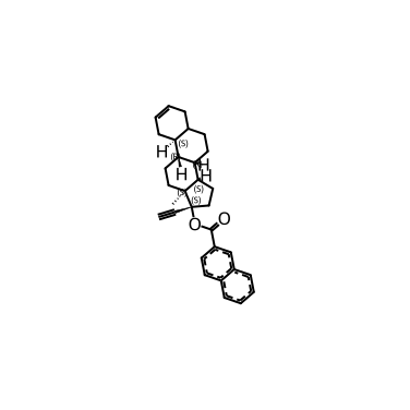 C#C[C@]1(OC(=O)c2ccc3ccccc3c2)CC[C@H]2[C@@H]3CCC4CC=CC[C@@H]4[C@H]3CC[C@@]21C